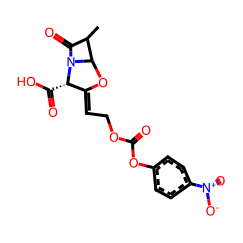 CC1C(=O)N2C1O/C(=C\COC(=O)Oc1ccc([N+](=O)[O-])cc1)[C@@H]2C(=O)O